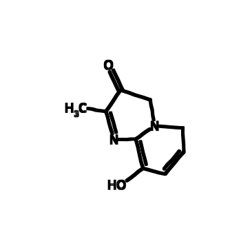 CC1=NC2=C(O)C=CCN2CC1=O